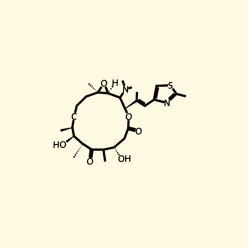 C/C(=C\c1csc(C)n1)[C@H]1OC(=O)C[C@H](O)C(C)C(=O)[C@H](C)[C@@H](O)[C@@H](C)CCC[C@@]2(C)O[C@H]2C1N(C)C